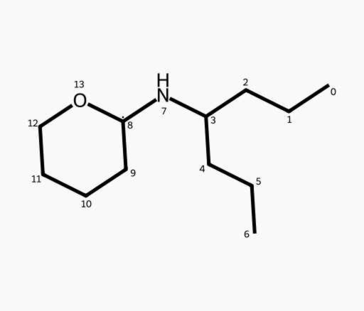 CCCC(CCC)N[C]1CCCCO1